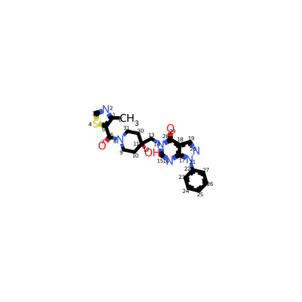 Cc1ncsc1C(=O)N1CCC(O)(Cn2cnc3c(cnn3-c3ccccc3)c2=O)CC1